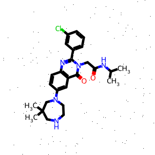 CC(C)NC(=O)Cn1c(-c2cccc(Cl)c2)nc2ccc(N3CCNCC(C)(C)C3)cc2c1=O